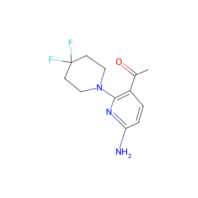 CC(=O)c1ccc(N)nc1N1CCC(F)(F)CC1